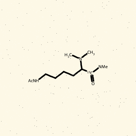 CC(=O)[15NH]CCCCC([13C](=O)N[13CH3])N(C)C